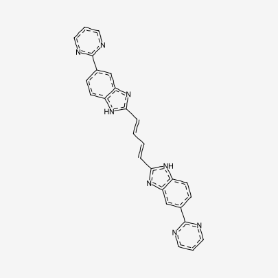 C(C=Cc1nc2cc(-c3ncccn3)ccc2[nH]1)=Cc1nc2cc(-c3ncccn3)ccc2[nH]1